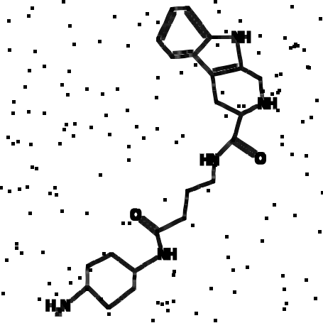 NC1CCC(NC(=O)CCCNC(=O)C2Cc3c([nH]c4ccccc34)CN2)CC1